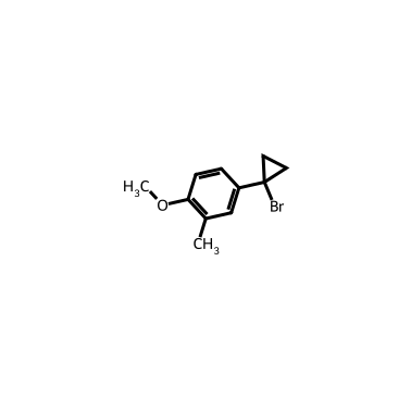 COc1ccc(C2(Br)CC2)cc1C